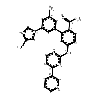 Cc1cn(-c2cc(-c3cc(Nc4nccc(-c5cccnc5)n4)ccc3C(N)=O)cc(C(F)(F)F)c2)cn1